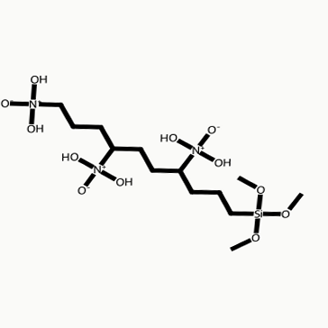 CO[Si](CCCC(CCC(CCC[N+]([O-])(O)O)[N+]([O-])(O)O)[N+]([O-])(O)O)(OC)OC